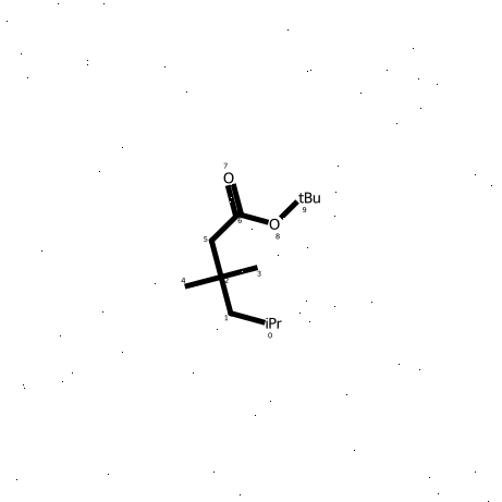 CC(C)CC(C)(C)CC(=O)OC(C)(C)C